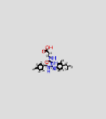 Cc1ccc(CN/C(=N/c2ccc(CC(C)C)c(C)c2)NC(=O)NCCC(=O)O)cc1